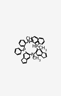 CN1c2ccccc2P(c2ccccc2)c2cc3c(cc2N(C)c2cc4c(cc2[PH](C)(c2ccccc2)c2ccccc21)C=CC4)C=CC3